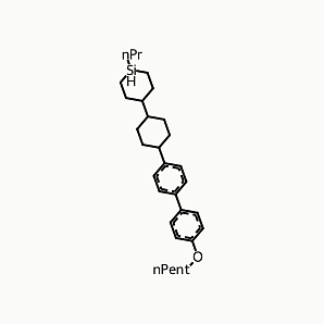 CCCCCOc1ccc(-c2ccc(C3CCC(C4CC[SiH](CCC)CC4)CC3)cc2)cc1